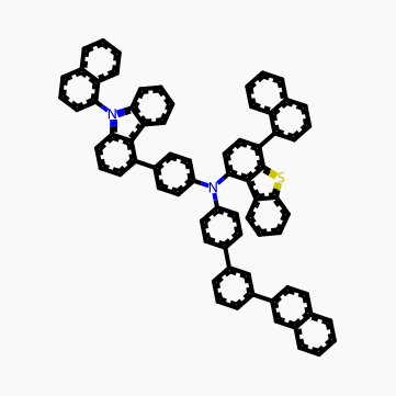 c1cc(-c2ccc(N(c3ccc(-c4cccc5c4c4ccccc4n5-c4cccc5ccccc45)cc3)c3ccc(-c4cccc5ccccc45)c4sc5ccccc5c34)cc2)cc(-c2ccc3ccccc3c2)c1